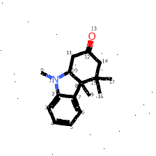 CN1c2ccccc2C2(C)C1CC(=O)CC2(C)C